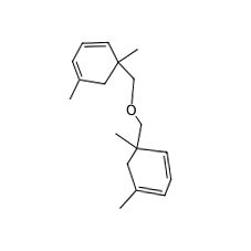 CC1=CC=CC(C)(COCC2(C)C=CC=C(C)C2)C1